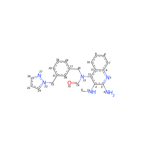 CNc1c(N)nc2ccccc2c1N(C=O)Cc1cccc(Cn2cccn2)c1